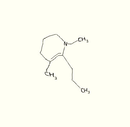 CCCC1=C(C)CCCN1C